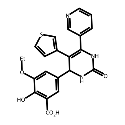 CCOc1cc(C2NC(=O)NC(c3cccnc3)=C2c2ccsc2)cc(C(=O)O)c1O